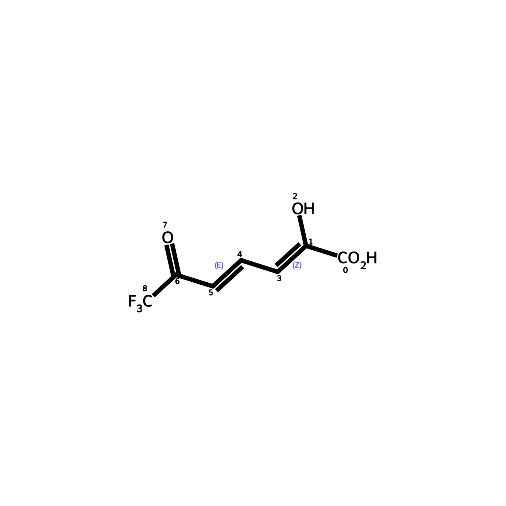 O=C(O)/C(O)=C/C=C/C(=O)C(F)(F)F